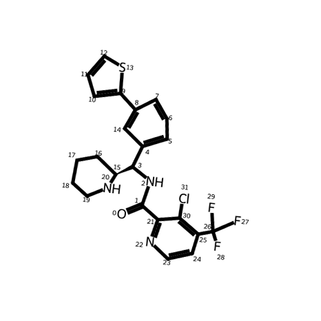 O=C(NC(c1cccc(-c2cccs2)c1)[C@@H]1CCCCN1)c1nccc(C(F)(F)F)c1Cl